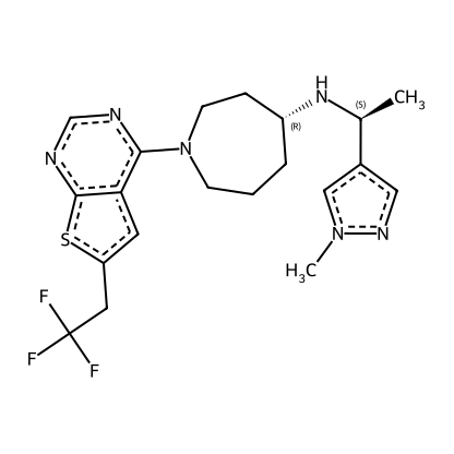 C[C@H](N[C@@H]1CCCN(c2ncnc3sc(CC(F)(F)F)cc23)CC1)c1cnn(C)c1